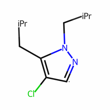 CC(C)Cc1c(Cl)[c]nn1CC(C)C